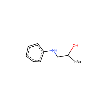 CCCCC(O)CNc1ccccc1